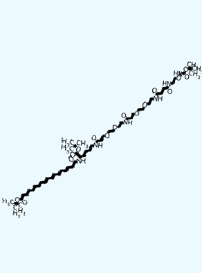 CC(C)(C)OC(=O)CCCCCCCCCCCCCCCCC(=O)NC(CCCCNC(=O)CCOCCOCCNC(=O)CCOCCOCCNC(=O)CCC(=O)NCCONC(=O)OC(C)(C)C)C(=O)OC(C)(C)C